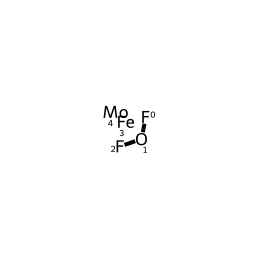 FOF.[Fe].[Mo]